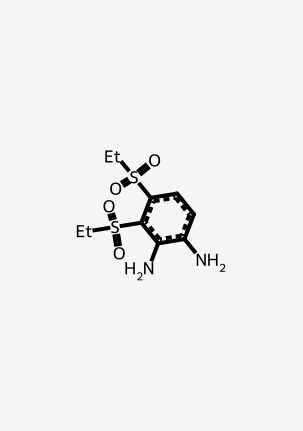 CCS(=O)(=O)c1ccc(N)c(N)c1S(=O)(=O)CC